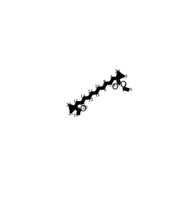 CCOC(=O)C1(CCCCCCCCCCCC2(C(C)=O)CC2)CC1